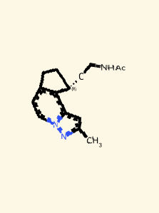 CC(=O)NCC[C@H]1CCc2ccn3nc(C)cc3c21